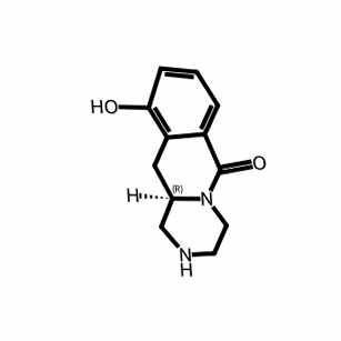 O=C1c2cccc(O)c2C[C@@H]2CNCCN12